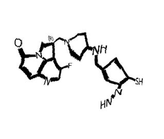 N=Nc1cc(CNC2CCN(C[C@@H]3Cn4c(=O)ccc5ncc(F)c3c54)CC2)ccc1S